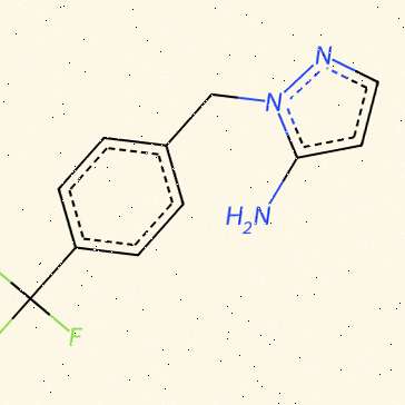 Nc1ccnn1Cc1ccc(C(F)(F)F)cc1